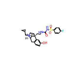 C[C@H]1[C@H]2Cc3ccc(O)cc3[C@@]1(CCNC(=O)NS(=O)(=O)c1ccc(F)cc1)CCN2CC1CC1